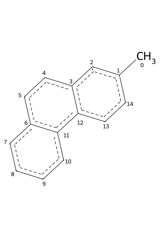 Cc1[c]c2ccc3ccccc3c2cc1